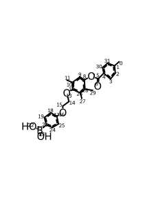 Cc1ccc(C(=O)Oc2cc(C)c(OCCOc3ccc(B(O)O)cc3)c(C)c2C)cc1